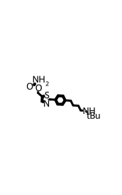 CC(C)(C)NCCCCc1ccc(-c2ncc(COC(N)=O)s2)cc1